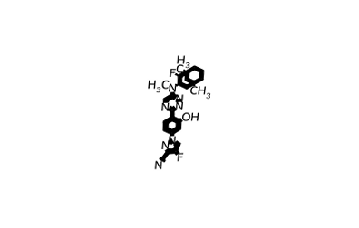 CN(c1cnc(-c2ccc(-n3cc(F)c(C#N)n3)cc2O)nn1)[C@@H]1C[C@@]2(C)CCC[C@](C)(C2)[C@@H]1F